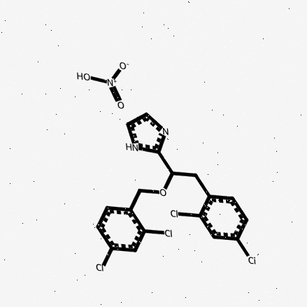 Clc1ccc(COC(Cc2ccc(Cl)cc2Cl)c2ncc[nH]2)c(Cl)c1.O=[N+]([O-])O